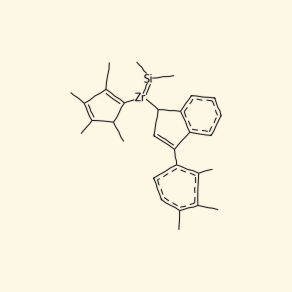 CC1=C(C)C(C)[C]([Zr]([CH]2C=C(c3ccc(C)c(C)c3C)c3ccccc32)=[Si](C)C)=C1C